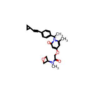 Cc1cc(OCC(=O)N(C)C2COC2)cc(=O)n1[C@H](C)c1ccc(C#CC2CC2)cc1